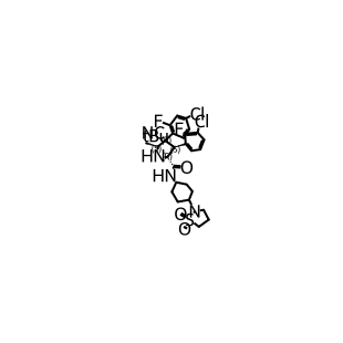 CC(C)(C)C[C@@H]1N[C@@H](C(=O)NC2CCC(N3CCCS3(=O)=O)CC2)[C@H](c2cccc(Cl)c2F)[C@@]1(C#N)c1ccc(Cl)cc1F